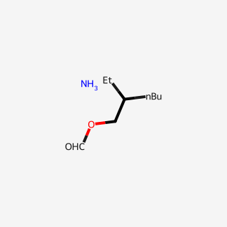 CCCCC(CC)COC=O.N